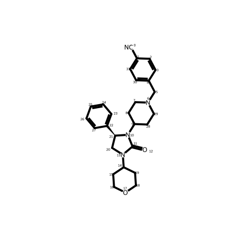 N#Cc1ccc(CN2CCC(N3C(=O)N(C4CCOCC4)C[C@H]3c3ccccc3)CC2)cc1